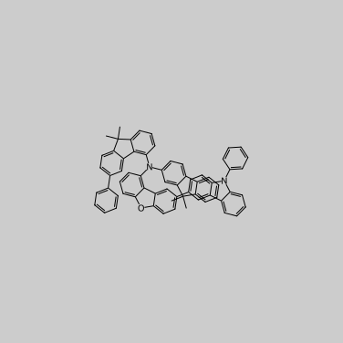 CC1(C)c2ccccc2-c2ccc(N(c3cccc4c3-c3cc(-c5ccccc5)ccc3C4(C)C)c3cccc4oc5ccc(-c6ccc7c(c6)c6ccccc6n7-c6ccccc6)cc5c34)cc21